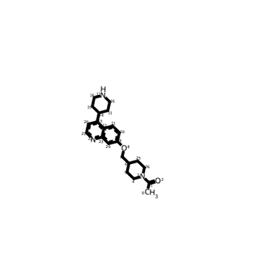 CC(=O)N1CCC(COc2ccc3c(C4CCNCC4)ccnc3c2)CC1